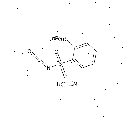 C#N.CCCCCc1ccccc1S(=O)(=O)N=C=O